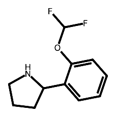 FC(F)Oc1ccccc1C1CCCN1